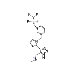 C/N=C/c1[nH]nnc1-c1cccn1Cc1cccc(OC(F)(F)C(F)F)c1